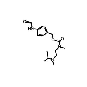 CC(C)N(C)CCN(C)C(=O)OCc1ccc(NC=O)cc1